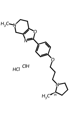 C[C@@H]1CCCN1CCCOc1ccc(-c2nc3c(o2)CCN(C)C3)cc1.Cl.Cl